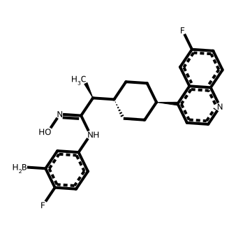 Bc1cc(N/C(=N\O)[C@@H](C)[C@H]2CC[C@H](c3ccnc4ccc(F)cc43)CC2)ccc1F